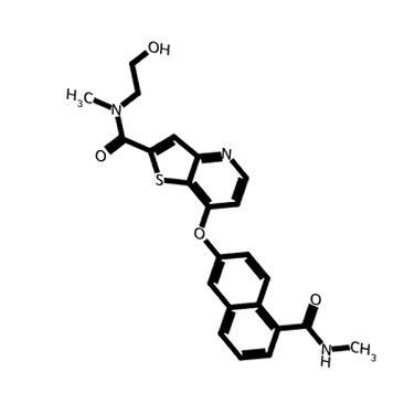 CNC(=O)c1cccc2cc(Oc3ccnc4cc(C(=O)N(C)CCO)sc34)ccc12